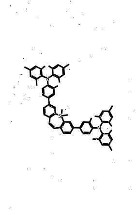 Cc1cc(C)c(N(c2ccc(-c3ccc4c(c3)[Si](C)(C)c3cc(-c5ccc(N(c6c(C)cc(C)cc6C)c6c(C)cc(C)cc6C)c(C)c5)ccc3C=C4)cc2C)c2c(C)cc(C)cc2C)c(C)c1